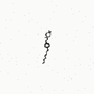 CCCCCCCCc1ccc(CCC2(C)COC(C)(C)OC2)cc1